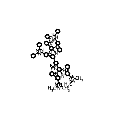 Cc1nc(C)nc(-c2ccc3c(c2)c2ccccc2n3-c2cc(-c3ccc(-c4ccc5c(c4)c4ccc(-c6nc(-c7ccccc7)nc(-c7ccccc7)n6)cc4n5-c4cc(-c5ccccc5C(F)(F)F)cc(-n5c6ccccc6c6ccc(-c7nc(-c8ccccc8)nc(-c8ccccc8)n7)cc65)c4C#N)cc3C(F)(F)F)cc(-n3c4ccccc4c4cc(-c5nc(C)nc(C)n5)ccc43)c2C#N)n1